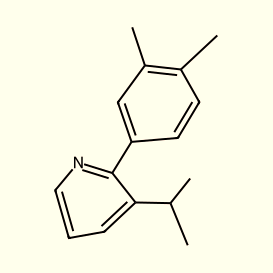 Cc1ccc(-c2ncccc2C(C)C)cc1C